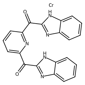 O=C(c1cccc(C(=O)c2nc3ccccc3[nH]2)n1)c1nc2ccccc2[nH]1.[Cr]